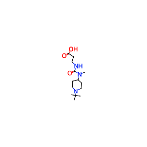 CN(C(=O)NCCC(=O)O)C1CCN(C(C)(C)C)CC1